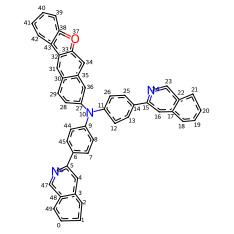 c1ccc2cc(-c3ccc(N(c4ccc(-c5cc6ccccc6cn5)cc4)c4ccc5cc6c(cc5c4)oc4ccccc46)cc3)ncc2c1